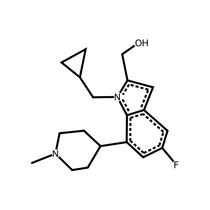 CN1CCC(c2cc(F)cc3cc(CO)n(CC4CC4)c23)CC1